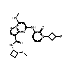 CNc1cc(Nc2cccn(C3CC(F)C3)c2=O)nc2c(C(=O)N[C@H]3CC[C@@H]3OC)cnn12